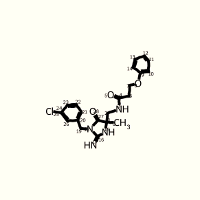 CC1(CNC(=O)CCOc2ccccc2)NC(=N)N(Cc2cccc(Cl)c2)C1=O